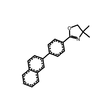 CC1(C)COC(c2ccc(-c3ccc4c[c]ccc4c3)cc2)=N1